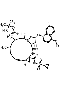 CCOc1cnc(O[C@@H]2C[C@H]3C(=O)N[C@]4(C(=O)NS(=O)(=O)C5CC5)C[C@H]4/C=C\CC[C@@H](C)C[C@@H](C)[C@H](NC(=O)OC(C)(C)C(F)(F)F)C(=O)N3C2)c2cc(F)ccc12